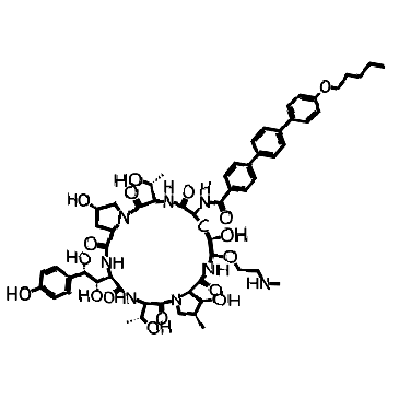 CCCCCOc1ccc(-c2ccc(-c3ccc(C(=O)NC4C[C@@H](O)C(OCCNC)NC(=O)C5[C@@H](O)[C@@H](C)CN5C(=O)C([C@@H](C)O)NC(=O)C([C@H](O)[C@@H](O)c5ccc(O)cc5)NC(=O)C5C[C@@H](O)CN5C(=O)C([C@@H](C)O)NC4=O)cc3)cc2)cc1